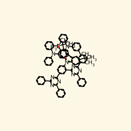 CC(C)(C)c1ccc2c(c1)c1cc(C(C)(C)C)ccc1n2-c1ccc(-c2nc(-c3ccccc3)nc(-c3ccccc3)n2)cc1-c1nc(-c2ccccc2)nc(-c2cccc(-c3cccc(N4c5ccccc5B5c6ccccc6N(c6ccccc6)c6cccc4c65)c3)c2)n1